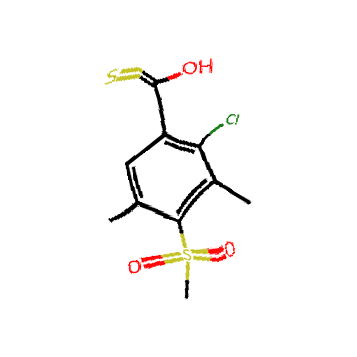 Cc1cc(C(O)=S)c(Cl)c(C)c1S(C)(=O)=O